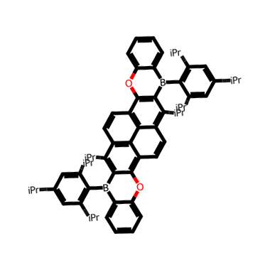 CC(C)c1cc(C(C)C)c(B2c3ccccc3Oc3c2c(C(C)C)c2ccc4c5c(c(C(C)C)c6ccc3c2c46)B(c2c(C(C)C)cc(C(C)C)cc2C(C)C)c2ccccc2O5)c(C(C)C)c1